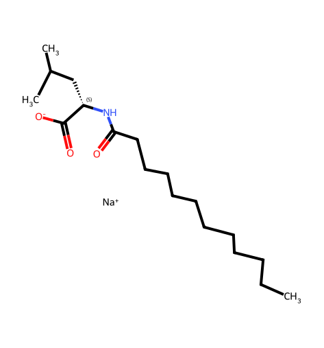 CCCCCCCCCCCC(=O)N[C@@H](CC(C)C)C(=O)[O-].[Na+]